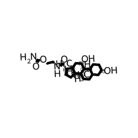 C[C@]12C[C@H](O)[C@H]3[C@@H](CCC4C[C@@H](O)CC[C@@]43C)[C@@H]1CC[C@@H]2C(=O)NCCOC(N)=O